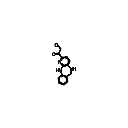 O=C(CCl)c1ccc2c(n1)Nc1ccccc1CN2